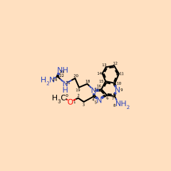 COCCc1nc2c(N)nc3ccccc3c2n1CCCNC(=N)N